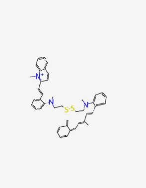 C=c1cccc/c1=C/C=C(C)/C=C/c1ccccc1N(C)CCSSCCN(C)c1ccccc1/C=C/c1ccc2ccccc2[n+]1C